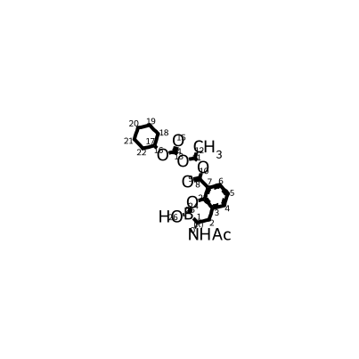 CC(=O)N[C@H]1Cc2cccc(C(=O)OC(C)OC(=O)OC3CCCCC3)c2OB1O